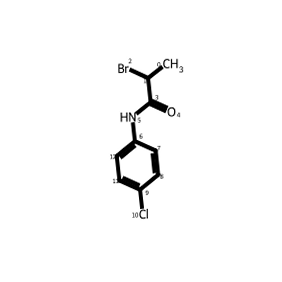 CC(Br)C(=O)Nc1ccc(Cl)cc1